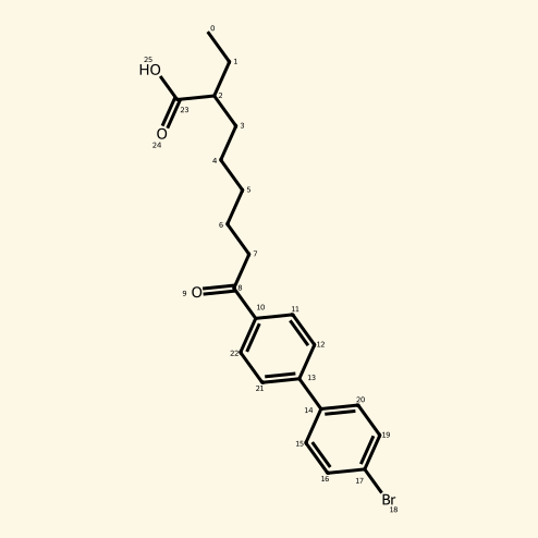 CCC(CCCCCC(=O)c1ccc(-c2ccc(Br)cc2)cc1)C(=O)O